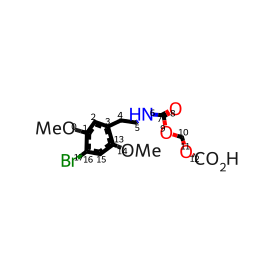 COc1cc(CCNC(=O)OCOC(=O)O)c(OC)cc1Br